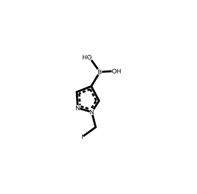 OB(O)c1cnn(CI)c1